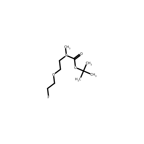 CN(CCOCCF)C(=O)OC(C)(C)C